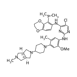 COc1cc(N2CCC(N3C[C@H]4CN(C)C[C@H]4C3)CC2)c(C)cc1Nc1ncc(Cl)c(Nc2ccc3c(c2P(C)C)OCCO3)n1